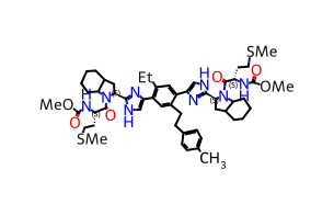 CCc1cc(-c2c[nH]c([C@@H]3CC4CCCCC4N3C(=O)[C@H](CCSC)NC(=O)OC)n2)c(CCc2ccc(C)cc2)cc1-c1c[nH]c([C@@H]2CC3CCCCC3N2C(=O)[C@H](CCSC)NC(=O)OC)n1